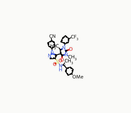 COc1ccc([C@H](C)NS(=O)(=O)c2cnn(-c3ccc(C#N)cc3)c2-c2c(C)n(-c3cccc(C(F)(F)F)c3)c(=O)n(C)c2=O)cc1